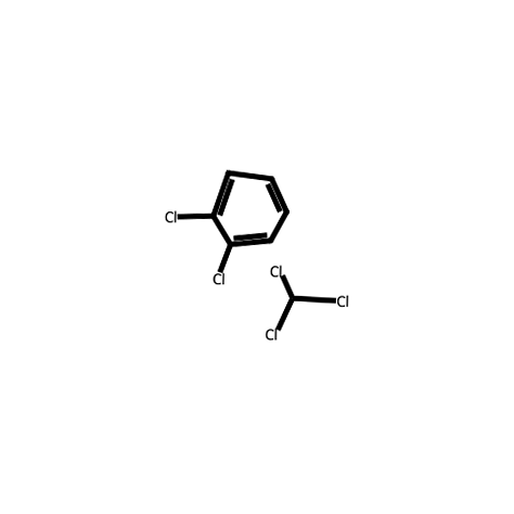 ClC(Cl)Cl.Clc1ccccc1Cl